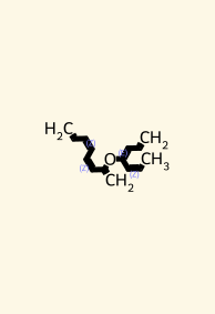 C=C/C=C\C=C/C(=C)OC(/C=C\C)=C/C=C